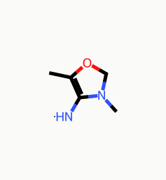 CC1=C([NH])N(C)CO1